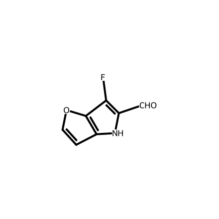 O=Cc1[nH]c2ccoc2c1F